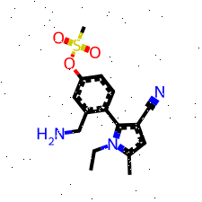 CCn1c(C)cc(C#N)c1-c1ccc(OS(C)(=O)=O)cc1CN